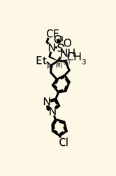 CC[C@@H]1Cc2cc(-c3cn(-c4ccc(Cl)cc4)cn3)ccc2C[C@H](C)[C@]12CN(CC(F)(F)F)S(=O)(=O)N2